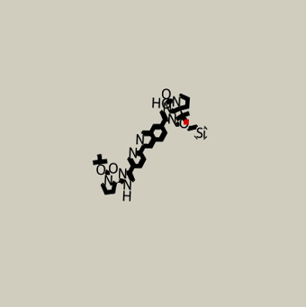 CC(C)(C)OC(=O)N1CCC[C@H]1c1nc(-c2ccc(-c3cc4ccc(-c5cnc([C@@]6(C(C)(C)C)CCCN6C(=O)O)n5COCC[Si](C)(C)C)cc4cn3)nc2)c[nH]1